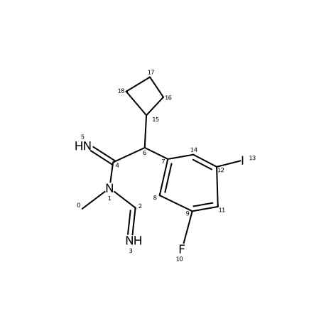 CN(C=N)C(=N)C(c1cc(F)cc(I)c1)C1CCC1